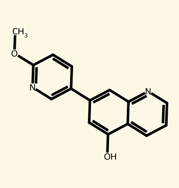 COc1ccc(-c2cc(O)c3cccnc3c2)cn1